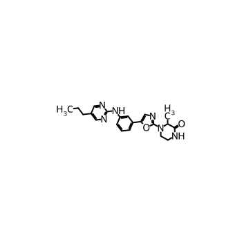 CCCc1cnc(Nc2cccc(-c3cnc(N4CCNC(=O)C4C)o3)c2)nc1